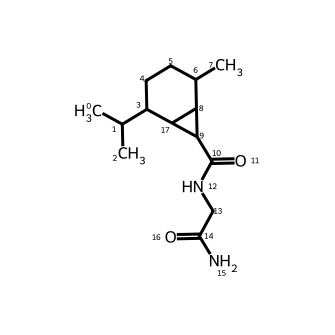 CC(C)C1CCC(C)C2C(C(=O)NCC(N)=O)C12